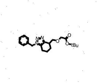 CC(C)(C)OC(=O)COCC1CCCc2c1nnn2Cc1ccccc1